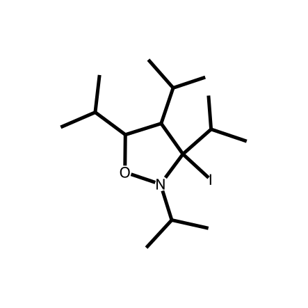 CC(C)C1ON(C(C)C)C(I)(C(C)C)C1C(C)C